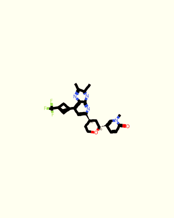 Cc1nc2nc([C@@H]3CCO[C@@H](c4ccc(=O)n(C)c4)C3)cc(C34CC(C(F)(F)F)(C3)C4)c2nc1C